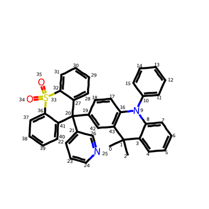 CC1(C)c2ccccc2N(c2ccccc2)c2ccc(C3(c4cccnc4)c4ccccc4S(=O)(=O)c4ccccc43)cc21